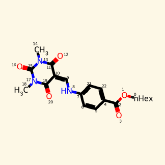 CCCCCCOC(=O)c1ccc(NC=C2C(=O)N(C)C(=O)N(C)C2=O)cc1